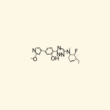 CC[C@@]1(C)C=CC[C@@H](N(C)c2cnc(-c3ccc(-c4ccnc(OC)c4)cc3O)nn2)[C@H]1F